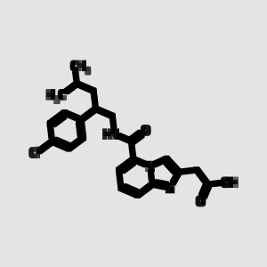 CC(C)CC(CNC(=O)c1cccc2nc(CC(=O)O)cn12)c1ccc(Cl)cc1